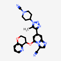 Cc1c(-c2cc(OC3CCOc4cccnc43)n3c(C#N)cnc3c2)nnn1C1CCN(C#N)CC1